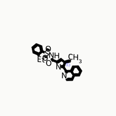 C/C=C1\C=C(C(=O)NS(=O)(=O)c2ccccc2CC)N=C1c1nccc2ccccc12